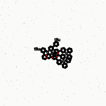 CC(C)(C)c1cccc(-c2ccc3c(c2)B2c4ccc(-c5cc([Si](c6ccccc6)(c6ccccc6)c6cccc(-c7ccccc7)c6)cc([Si](c6ccccc6)(c6ccccc6)c6cccc(-c7ccccc7)c6)c5)cc4Sc4cccc(c42)N3c2ccc(C(C)(C)C)cc2-c2ccccc2)c1